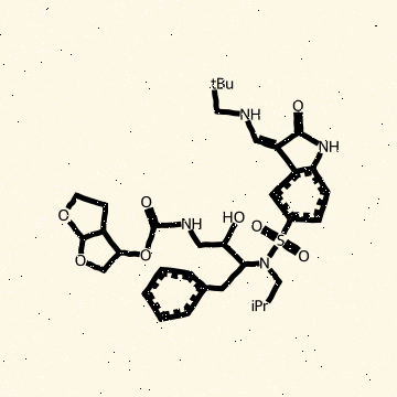 CC(C)CN(C(Cc1ccccc1)C(O)CNC(=O)OC1COC2OCCC12)S(=O)(=O)c1ccc2c(c1)C(=CNCC(C)(C)C)C(=O)N2